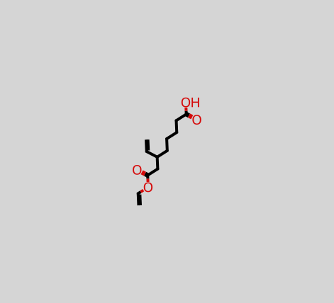 C=COC(=O)CC(C=C)CCCCC(=O)O